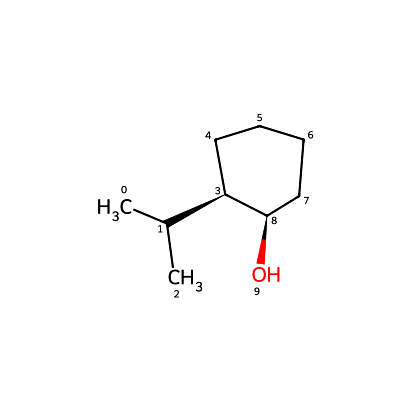 CC(C)[C@H]1CCCC[C@H]1O